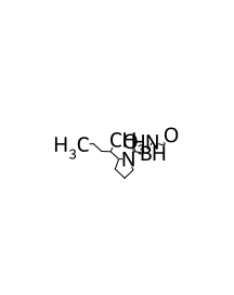 CCCC(C)C1CCCN1C(=O)BNC=O